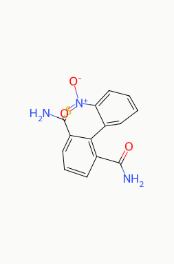 NC(=O)c1cccc(C(N)=S)c1-c1ccccc1[N+](=O)[O-]